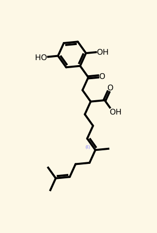 CC(C)=CCC/C(C)=C/CCC(CC(=O)c1cc(O)ccc1O)C(=O)O